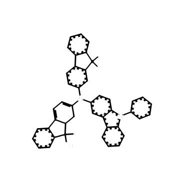 CC1(C)c2ccccc2-c2ccc(N(C3=CC=C4c5ccccc5C(C)(C)C4C3)c3ccc4c(c3)c3ccccc3n4-c3ccccc3)cc21